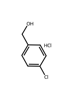 Cl.OCc1ccc(Cl)cc1